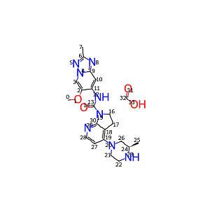 COc1cn2nc(C)nc2cc1NC(=O)N1CCc2c(N3CCN[C@H](C)C3)ccnc21.O=CO